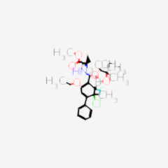 CCOC1=C(CNC2(C(=O)OC)CC2)C(F)(B2OC(C)(C)C(C)(C)O2)C(C)(Cl)C(c2ccccc2)=C1